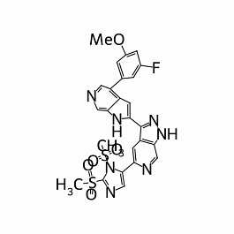 COc1cc(F)cc(-c2cncc3[nH]c(-c4n[nH]c5cnc(-c6cnc(S(C)(=O)=O)n6S(C)(=O)=O)cc45)cc23)c1